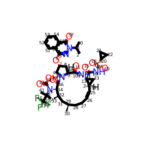 CC(C)n1nc(O[C@@H]2C[C@H]3C(=O)N[C@]4(C(=O)NS(=O)(=O)C5CC5)C[C@H]4/C=C\CC[C@@H](C)C[C@@H](C)[C@H](N(C(=O)O)C(C)(C)C(F)(F)F)C(=O)N3C2)c2ccccc2c1=O